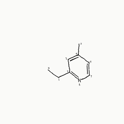 CCc1cc(C)[c]cn1